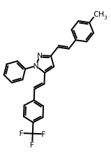 Cc1ccc(/C=C/c2cc(/C=C/c3ccc(C(F)(F)F)cc3)n(-c3ccccc3)n2)cc1